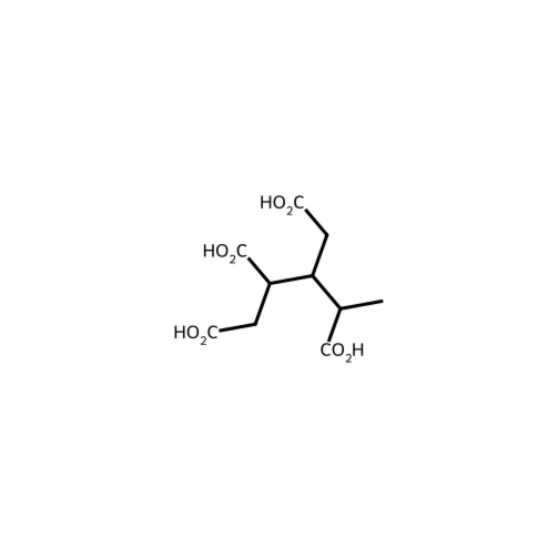 CC(C(=O)O)C(CC(=O)O)C(CC(=O)O)C(=O)O